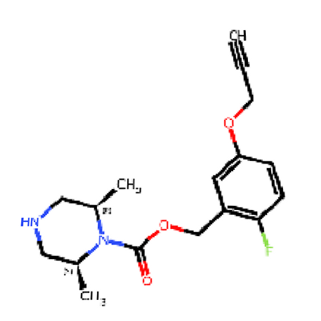 C#CCOc1ccc(F)c(COC(=O)N2[C@H](C)CNC[C@@H]2C)c1